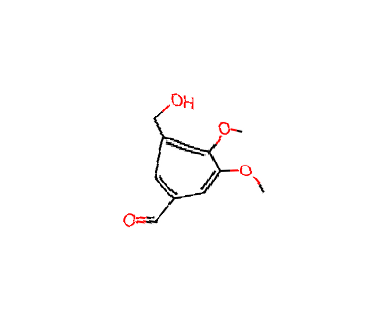 COc1cc(C=O)cc(CO)c1OC